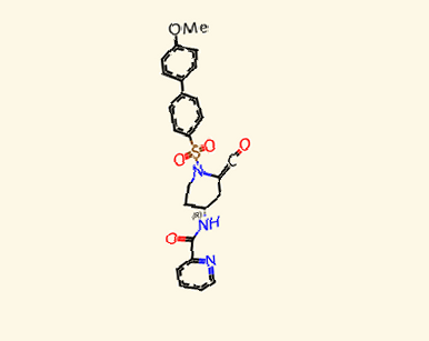 COc1ccc(-c2ccc(S(=O)(=O)N3CC[C@@H](NC(=O)c4ccccn4)CC3=C=O)cc2)cc1